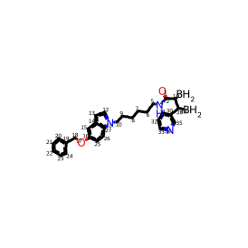 BC(C(=O)NCCCCCCn1ccc2cc(OCc3ccccc3)ccc21)C(B)c1cccnc1